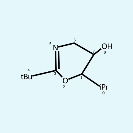 CC(C)C1OC(C(C)(C)C)=NCC1O